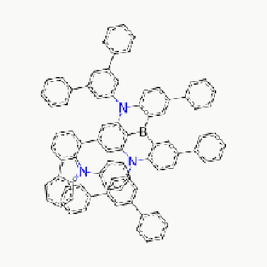 c1ccc(-c2cc(-c3ccccc3)cc(N3c4ccc(-c5ccccc5)cc4B4c5cc(-c6ccccc6)ccc5N(c5cc(-c6ccccc6)cc(-c6ccccc6)c5)c5cc(-c6cccc7c8ccccc8n(-c8ccccc8)c67)cc3c54)c2)cc1